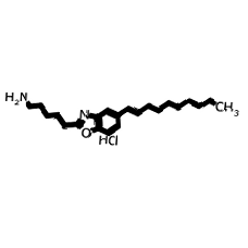 CCCCCCCCCCc1ccc2oc(CCCCCN)nc2c1.Cl